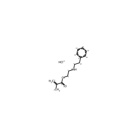 C=C(C)C(=O)OCCNCCc1ccccc1.Cl